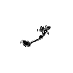 Cn1cc(-c2cc(NC(=O)CCCc3cn(CCCCCCCCCCCNc4cccc5c4C(=O)N(C4CCC(=O)NC4=O)C5=O)nn3)ccc2Oc2ccc(F)cc2F)c2cc[nH]c2c1=O